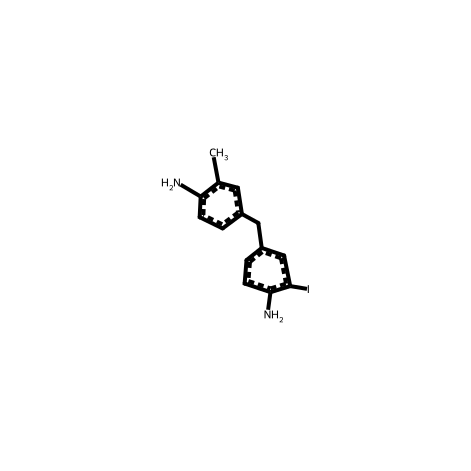 Cc1cc(Cc2ccc(N)c(I)c2)ccc1N